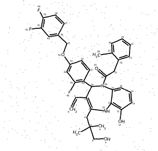 C=CC1=C(CC(C)(C)CO)Nc2c(O)cccc2N(C(=O)Cc2ccccc2C)C1c1ccc(OCc2ccc(F)c(F)c2)cc1F